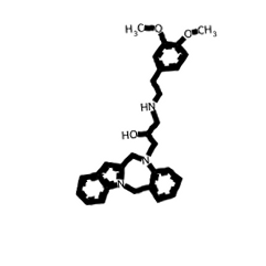 COc1ccc(CCNCC(O)CN2Cc3cc4ccccc4n3Cc3ccccc32)cc1OC